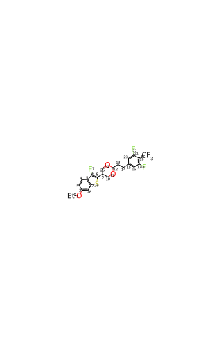 CCOc1ccc2c(F)c(C3COC(CCc4cc(F)c(C(F)(F)F)c(F)c4)OC3)sc2c1